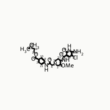 CO[C@H]1CN(CC(=O)Nc2ccc(C(=O)OCCN(C)C)cc2)CC[C@H]1NC(=O)c1cc(Cl)c(N)[nH]c1=O